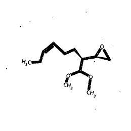 CC/C=C\CC[C@H](C(OC)OC)[C@@H]1CO1